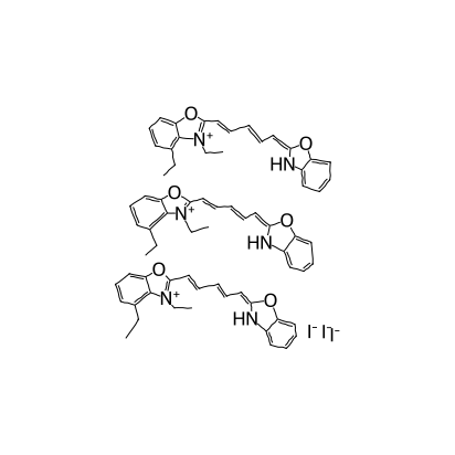 CCc1cccc2oc(C=CC=CC=C3Nc4ccccc4O3)[n+](CC)c12.CCc1cccc2oc(C=CC=CC=C3Nc4ccccc4O3)[n+](CC)c12.CCc1cccc2oc(C=CC=CC=C3Nc4ccccc4O3)[n+](CC)c12.[I-].[I-].[I-]